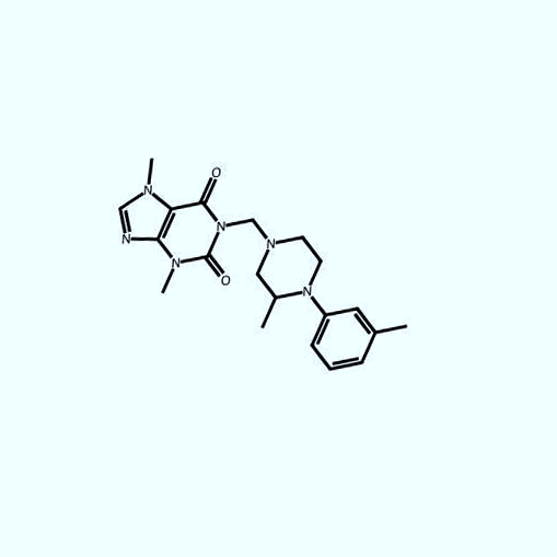 Cc1cccc(N2CCN(Cn3c(=O)c4c(ncn4C)n(C)c3=O)CC2C)c1